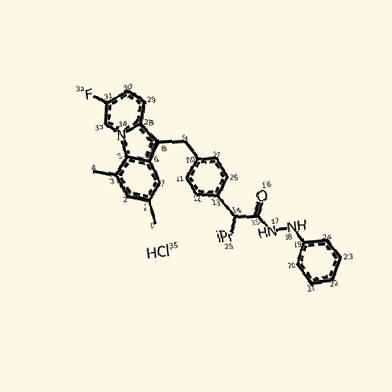 Cc1cc(C)c2c(c1)c(Cc1ccc(C(C(=O)NNc3ccccc3)C(C)C)cc1)c1ccc(F)cn12.Cl